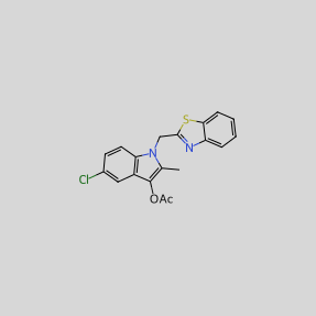 CC(=O)Oc1c(C)n(Cc2nc3ccccc3s2)c2ccc(Cl)cc12